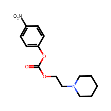 O=C(OCCN1CCCCC1)Oc1ccc([N+](=O)[O-])cc1